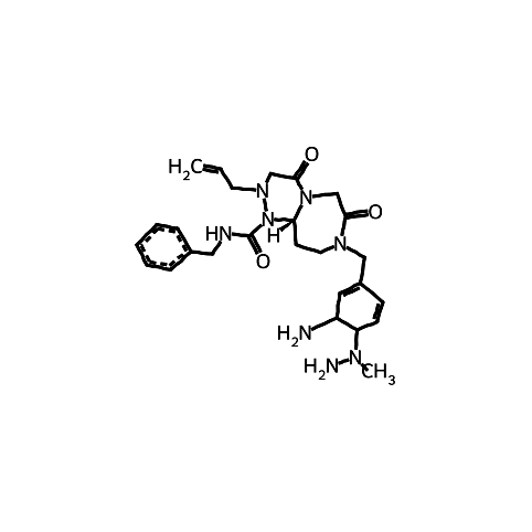 C=CCN1CC(=O)N2CC(=O)N(CC3=CC(N)C(N(C)N)C=C3)CC[C@@H]2N1C(=O)NCc1ccccc1